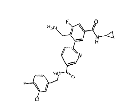 NCc1c(F)cc(C(=O)NC2CC2)cc1-c1ccc(C(=O)NCc2ccc(F)c(Cl)c2)cn1